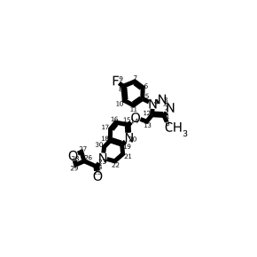 Cc1nnn(-c2ccc(F)cc2)c1COc1ccc2c(n1)CCN(C(=O)C1COC1)C2